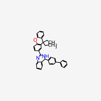 CCC1(CC)c2ccccc2Oc2ccc(C3=Nc4ccccc4C(c4ccc(-c5ccccc5)cc4)N3)cc21